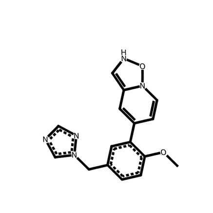 COc1ccc(Cn2cncn2)cc1C1=CC2=CNON2C=C1